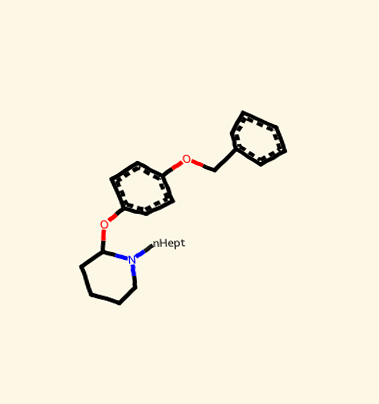 CCCCCCCN1CCCCC1Oc1ccc(OCc2ccccc2)cc1